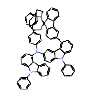 c1ccc(-c2ccc(N(c3ccc4c(c3)c3c(-c5ccc6c(c5)-c5ccccc5C65CCC6CC7CC5C7C6)cccc3n4-c3ccccc3)c3cccc4c3c3ccccc3n4-c3ccccc3)cc2)cc1